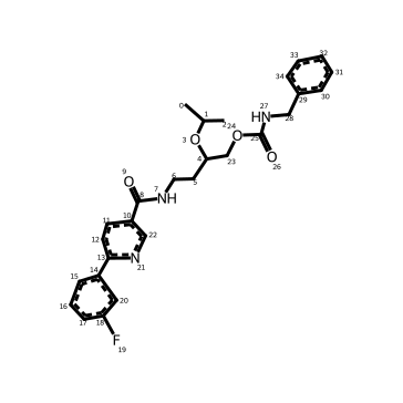 CC(C)OC(CCNC(=O)c1ccc(-c2cccc(F)c2)nc1)COC(=O)NCc1ccccc1